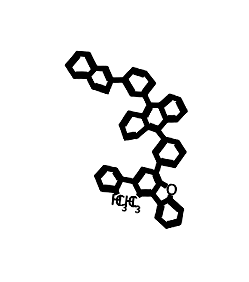 Cc1ccccc1-c1cc(-c2cccc(-c3c4ccccc4c(-c4cccc(-c5ccc6ccccc6c5)c4)c4ccccc34)c2)c2oc3ccccc3c2c1C